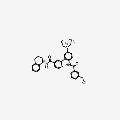 CCN(CC)c1ccc(NC(=O)c2cccc(CCl)c2)c(-c2cc(C(=O)N[C@H]3CCCc4ccccc43)ccn2)c1